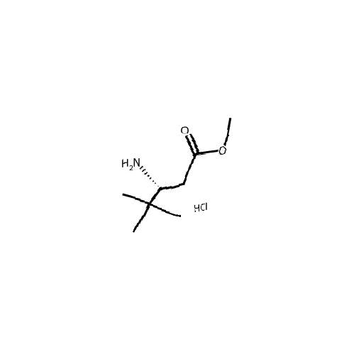 COC(=O)C[C@@H](N)C(C)(C)C.Cl